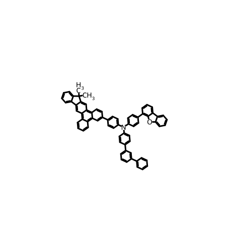 CC1(C)c2ccccc2-c2cc3c4ccccc4c4cc(-c5ccc(N(c6ccc(-c7cccc(-c8ccccc8)c7)cc6)c6ccc(-c7cccc8c7oc7ccccc78)cc6)cc5)ccc4c3cc21